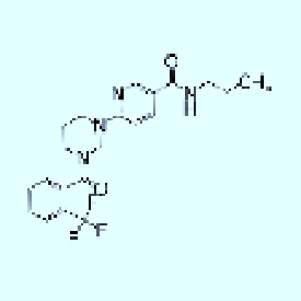 CCCNC(=O)c1ccc(N2CCCN(C(=O)c3ccccc3C(F)(F)F)C2)nc1